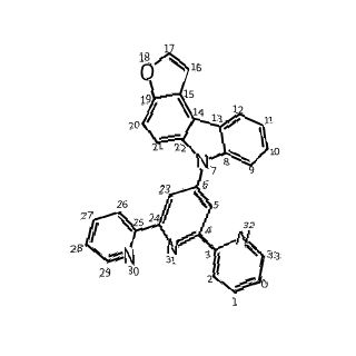 c1ccc(-c2cc(-n3c4ccccc4c4c5ccoc5ccc43)cc(-c3ccccn3)n2)nc1